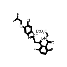 CCOC(=O)Cn1nc(Cc2nc3cc(OCC(F)F)c(Cl)cc3[nH]2)c2c(F)ccc(F)c2c1=O